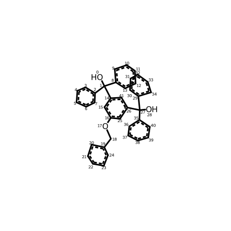 OC(c1ccccc1)(c1ccccc1)c1cc(OCc2ccccc2)cc(C(O)(c2ccccc2)c2ccccc2)c1